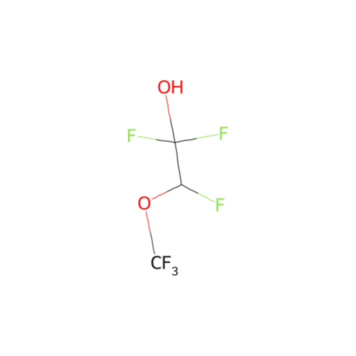 OC(F)(F)C(F)OC(F)(F)F